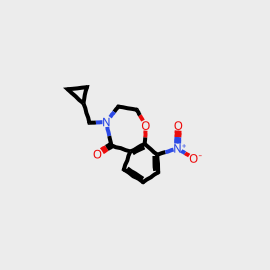 O=C1c2cccc([N+](=O)[O-])c2OCCN1CC1CC1